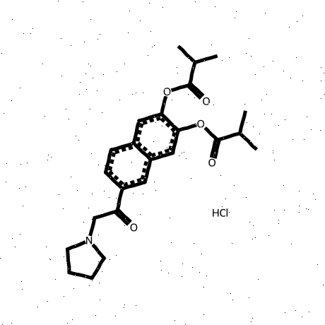 CC(C)C(=O)Oc1cc2ccc(C(=O)CN3CCCC3)cc2cc1OC(=O)C(C)C.Cl